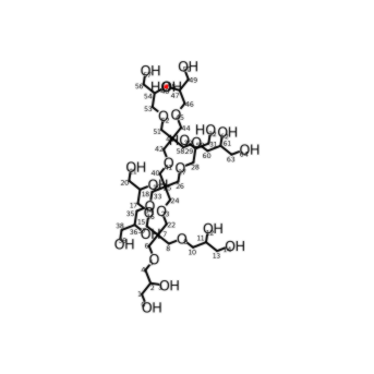 OCC(O)COCC(COCC(O)CO)(COCC(O)CO)COCC(COCC(O)CO)(COCC(O)CO)COCC(COCC(O)CO)(COCC(O)CO)COCC(O)CO